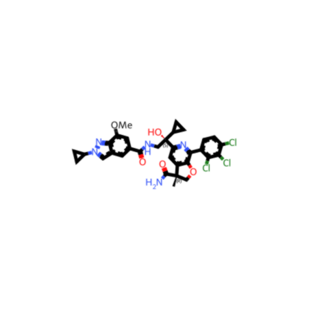 COc1cc(C(=O)NC[C@](O)(c2cc3c(c(-c4ccc(Cl)c(Cl)c4Cl)n2)OC[C@]3(C)C(N)=O)C2CC2)cc2cn(C3CC3)nc12